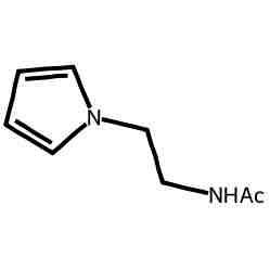 CC(=O)NCCn1cccc1